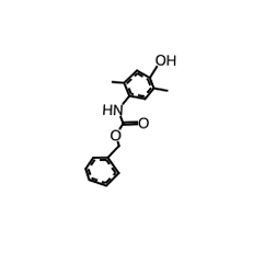 Cc1cc(NC(=O)OCc2ccccc2)c(C)cc1O